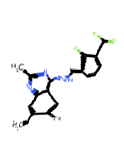 C=Cc1cc2nc(C)nc(NCc3cccc(C(F)F)c3F)c2cc1CC